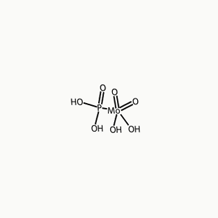 O=[P](O)(O)[Mo](=[O])(=[O])([OH])[OH]